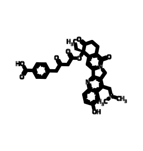 CC[C@@]1(OC(=O)CC(=O)Cc2ccc(C(=O)O)cc2)C(=O)CCc2c1cc1n(c2=O)Cc2c-1nc1ccc(O)cc1c2CN(C)C